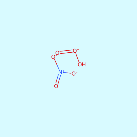 O=[N+]([O-])[O-].O=[O+]O